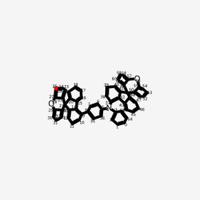 c1ccc(N(c2ccc(-c3cccc4c3-c3ccccc3C43c4ccccc4Oc4ccccc43)cc2)c2cccc3c2-c2ccccc2C32c3ccccc3Oc3ccccc32)cc1